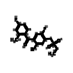 CCS(=O)(=O)Cc1cc(Br)c(C(=O)c2ccc(F)cc2C)cc1F